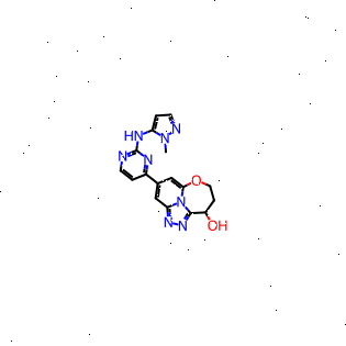 Cn1nccc1Nc1nccc(-c2cc3n4c(nnc4c2)C(O)CCO3)n1